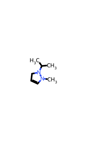 CC(C)N1CC=CN1C